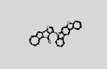 O=C1c2c3cccccc-3cc2-c2occ(-n3c4ccccc4c4cc5c(cc43)oc3ccccc35)c21